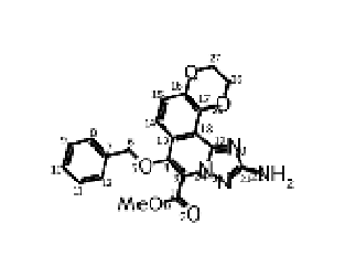 COC(=O)c1c(OCc2ccccc2)c2ccc3c(c2c2nc(N)nn12)OCCO3